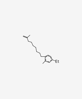 C=C(C)CCCCCCCc1ccc(CC)cc1C